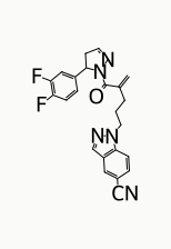 C=C(CCCn1ncc2cc(C#N)ccc21)C(=O)N1N=CCC1c1ccc(F)c(F)c1